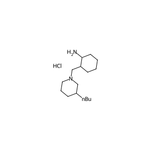 CCCCC1CCCN(CC2CCCCC2N)C1.Cl